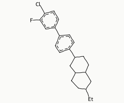 CCC1CCC2CC(c3ccc(-c4ccc(Cl)c(F)c4)cc3)CCC2C1